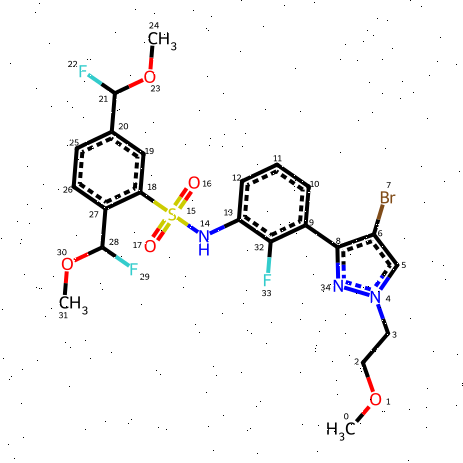 COCCn1cc(Br)c(-c2cccc(NS(=O)(=O)c3cc(C(F)OC)ccc3C(F)OC)c2F)n1